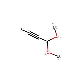 CC#CC(OCC)OCC